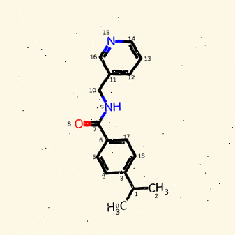 CC(C)c1ccc(C(=O)NCc2cccnc2)cc1